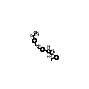 CC(Nc1ncnc2[nH]c(-c3ccc(CNCc4ccc(C(=O)NO)cc4)cc3)cc12)c1ccccc1